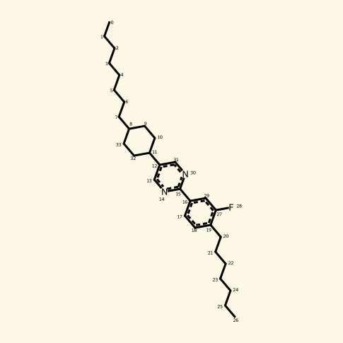 CCCCCCCCC1CCC(c2cnc(-c3ccc(CCCCCCC)c(F)c3)nc2)CC1